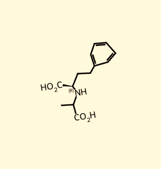 CC(N[C@H](CCc1ccccc1)C(=O)O)C(=O)O